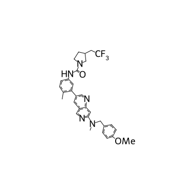 COc1ccc(CN(C)c2cc3ncc(-c4cc(NC(=O)N5CCC(CC(F)(F)F)C5)ccc4C)cc3cn2)cc1